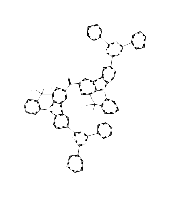 CC1(C)c2ccccc2-n2c3ccc(-c4nc(-c5ccccc5)nc(-c5ccccc5)n4)cc3c3cc(C(=O)c4cc5c6c(c4)c4cc(-c7nc(-c8ccccc8)nc(-c8ccccc8)n7)ccc4n6-c4ccccc4C5(C)C)cc1c32